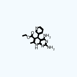 CCOC(=O)C1=C(C)Nc2nc(N)nc(N)c2C1c1cccnc1